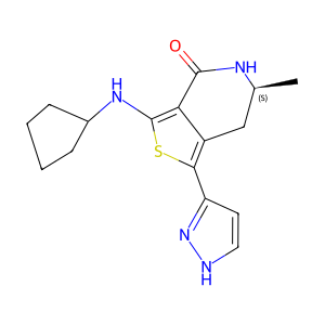 C[C@H]1Cc2c(-c3cc[nH]n3)sc(NC3CCCC3)c2C(=O)N1